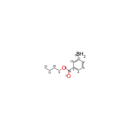 Bc1cccc(C(=O)OCCCC)c1